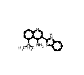 CN(C)c1cccc2ncc(-c3nc4ccccc4[nH]3)c(N)c12